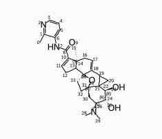 Cc1ncccc1NC(=O)C1=CCC2[C@]1(C)CC=C1C3CC34[C@@H](O)[C@H](O)[C@@H](N(C)C)C[C@]43CC[C@@]12O3